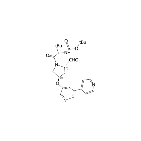 CC(C)(C)OC(=O)NC(C(=O)N1C[C@H](Oc2cncc(-c3ccncc3)c2)C[C@H]1C=O)C(C)(C)C